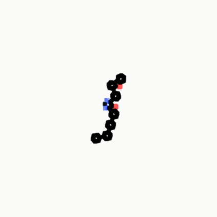 c1ccc(-c2cccc(-c3ccc(-c4ccc5oc6c(-c7cccc(-c8cccc9c8oc8ccccc89)c7)ncnc6c5c4)cc3)c2)cc1